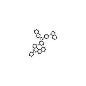 c1ccc(-n2c3cccc(-c4cccc(N(c5ccc(-c6cccc7ccccc67)cc5)c5ccc6ccccc6c5)c4)c3c3c4ccccc4ccc32)cc1